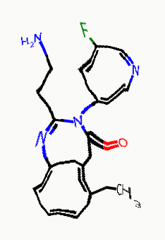 Cc1cccc2nc(CCN)n(-c3cncc(F)c3)c(=O)c12